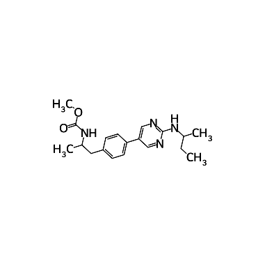 CCC(C)Nc1ncc(-c2ccc(CC(C)NC(=O)OC)cc2)cn1